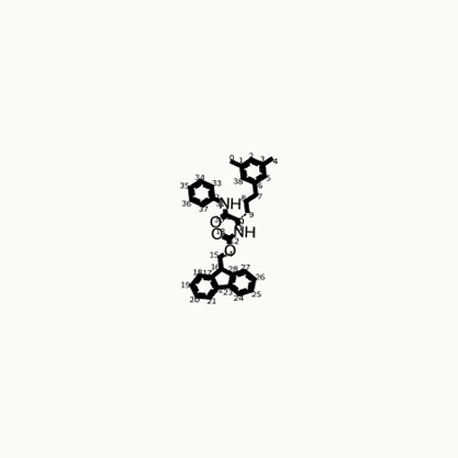 Cc1cc(C)cc(CCC[C@H](NC(=O)OCC2c3ccccc3-c3ccccc32)C(=O)Nc2ccccc2)c1